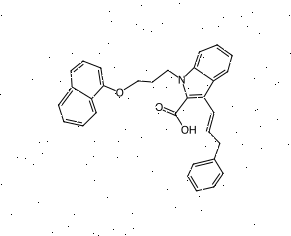 O=C(O)c1c(C=CCc2ccccc2)c2ccccc2n1CCCOc1cccc2ccccc12